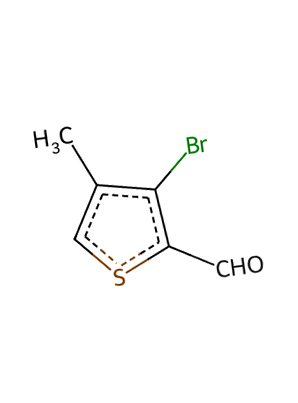 Cc1csc(C=O)c1Br